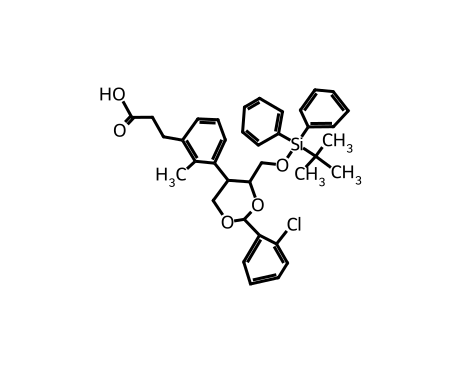 Cc1c(CCC(=O)O)cccc1C1COC(c2ccccc2Cl)OC1CO[Si](c1ccccc1)(c1ccccc1)C(C)(C)C